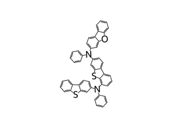 c1ccc(N(c2ccc3c(c2)oc2ccccc23)c2ccc3c(c2)sc2c(N(c4ccccc4)c4ccc5c(c4)sc4ccccc45)cccc23)cc1